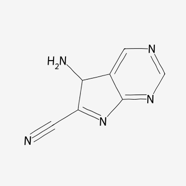 N#CC1=Nc2ncncc2C1N